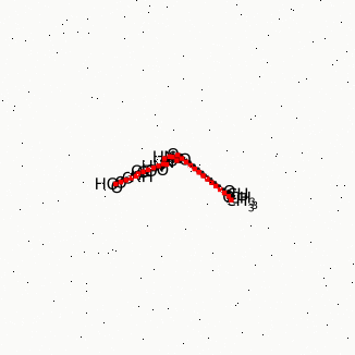 CC(C)(C)OC(=O)CCCCCCCCCCCCCCCCCCCOc1ccc(S(=O)(=O)Nc2ccc(C(=O)NCCOCCOCC(=O)NCCOCCOCC(=O)O)cn2)cc1